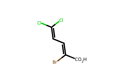 O=C(O)C(Br)=CC=C(Cl)Cl